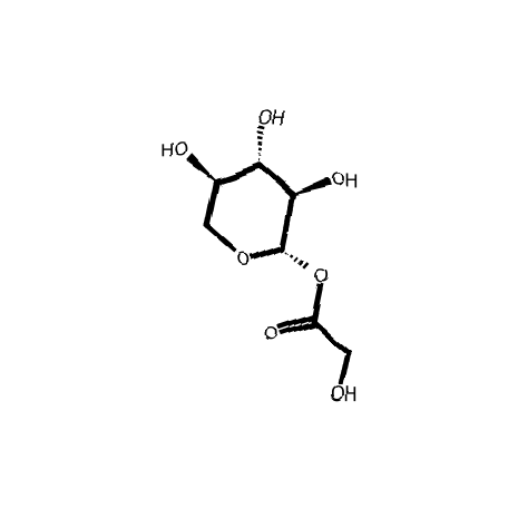 O=C(CO)O[C@@H]1OC[C@@H](O)[C@H](O)[C@H]1O